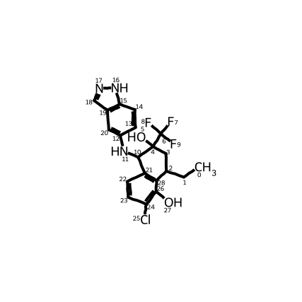 CCC1CC(O)(C(F)(F)F)C(Nc2ccc3[nH]ncc3c2)c2ccc(Cl)c(O)c21